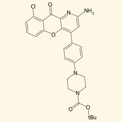 CC(C)(C)OC(=O)N1CCN(c2ccc(-c3cc(N)nc4c(=O)c5c(Cl)cccc5oc34)cc2)CC1